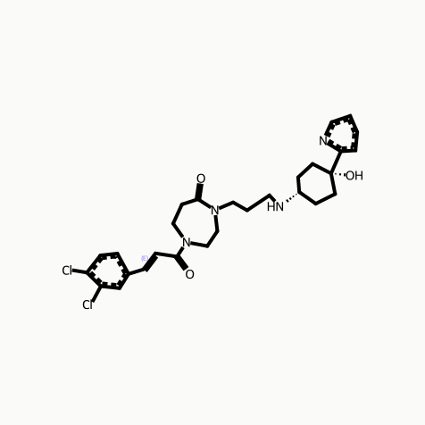 O=C(/C=C/c1ccc(Cl)c(Cl)c1)N1CCC(=O)N(CCCN[C@H]2CC[C@](O)(c3ccccn3)CC2)CC1